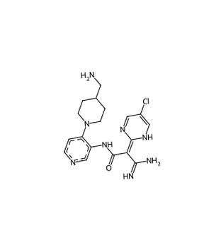 N=C(N)/C(C(=O)Nc1cnccc1N1CCC(CN)CC1)=C1/N=CC(Cl)=CN1